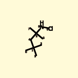 CC(C)(C)CC(C)(C)NCl